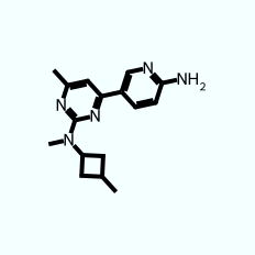 Cc1cc(-c2ccc(N)nc2)nc(N(C)C2CC(C)C2)n1